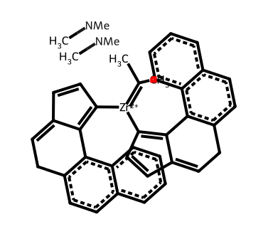 C[C](C)=[Zr+2]([C]1=C2C(=CCc3ccc4ccccc4c32)C=C1)[C]1=C2C(=CCc3ccc4ccccc4c32)C=C1.C[N-]C.C[N-]C